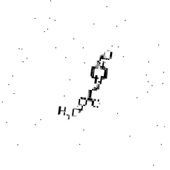 CCOC(=O)CCN1CCN(C=O)CC1